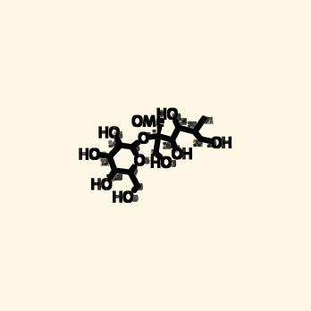 CO[C@@](CO)(OC1OC(CO)C(O)C(O)C1O)C(O)C(O)C(C)CO